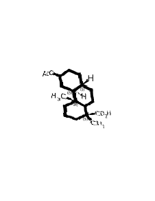 CC(=O)OC1CC[C@@H]2CCC3[C@](C)(CCC[C@]3(C)C(=O)O)[C@H]2C1